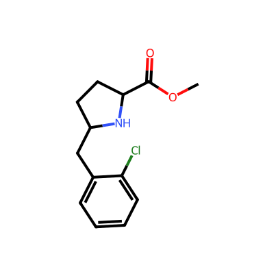 COC(=O)C1CCC(Cc2ccccc2Cl)N1